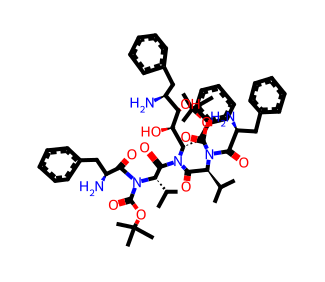 CC(C)[C@@H](C(=O)N(C(=O)[C@H](C(C)C)N(C(=O)OC(C)(C)C)C(=O)[C@@H](N)Cc1ccccc1)[C@@H](Cc1ccccc1)[C@@H](O)[C@H](O)[C@@H](N)Cc1ccccc1)N(C(=O)OC(C)(C)C)C(=O)[C@@H](N)Cc1ccccc1